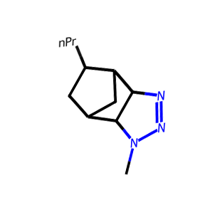 CCCC1CC2CC1C1N=NN(C)C21